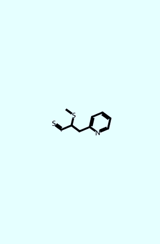 CSC([C]=S)Cc1ccccn1